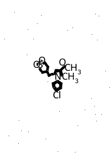 CC(=O)c1cc(CC2CCS(=O)(=O)CC2)n(-c2ccc(Cl)cc2)c1C